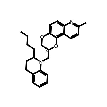 CCCCC1CCc2ccccc2N1C[C@H]1COc2ccc3nc(C)ccc3c2O1